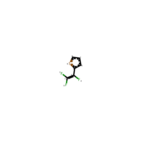 FC(F)=C(F)c1cccs1